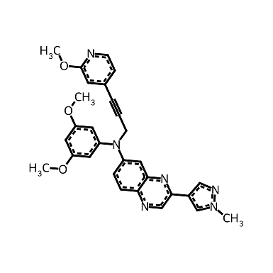 COc1cc(OC)cc(N(CC#Cc2ccnc(OC)c2)c2ccc3ncc(-c4cnn(C)c4)nc3c2)c1